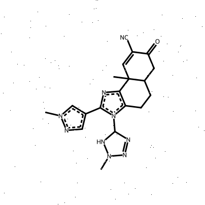 CN1N=NC(n2c(-c3cnn(C)c3)nc3c2CCC2CC(=O)C(C#N)=CC32C)N1